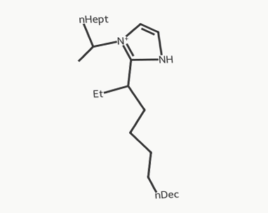 CCCCCCCCCCCCCCC(CC)c1[nH]cc[n+]1C(C)CCCCCCC